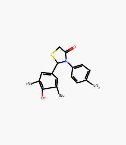 CC(C)(C)c1cc(C2SCC(=O)N2c2ccc([N+](=O)[O-])cc2)cc(C(C)(C)C)c1O